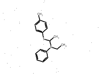 CCN(c1ccccc1)C(C)Sc1ccc(C)cc1